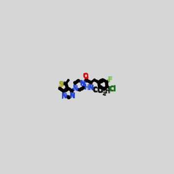 C[C@@H]1SCc2ncnc(N3CCN(C(=O)[C@@H](Cc4ccc(Cl)c(F)c4)NC(=O)O)CC3)c21